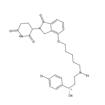 CCN(CCCCCOc1cccc2c1CN(C1CCC(=O)NC1=O)C2=O)CC[C@H](C#N)c1ccc(Cl)cc1